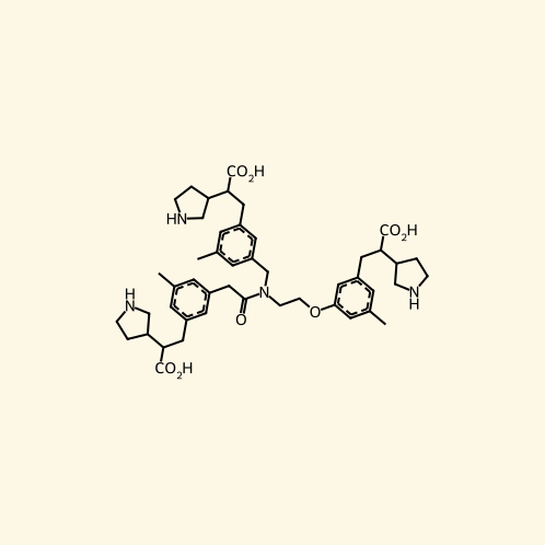 Cc1cc(CC(=O)N(CCOc2cc(C)cc(CC(C(=O)O)C3CCNC3)c2)Cc2cc(C)cc(CC(C(=O)O)C3CCNC3)c2)cc(CC(C(=O)O)C2CCNC2)c1